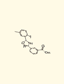 Cc1ccc(F)c(C2NC(c3cccc(C(=O)O)c3)=NO2)c1